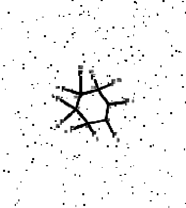 FC1C(F)C(F)(F)C(F)(F)C(F)(F)C1(F)F